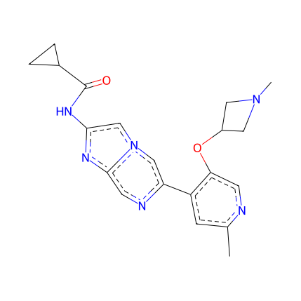 Cc1cc(-c2cn3cc(NC(=O)C4CC4)nc3cn2)c(OC2CN(C)C2)cn1